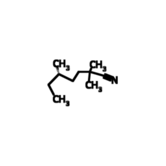 CC[C@H](C)CCC(C)(C)C#N